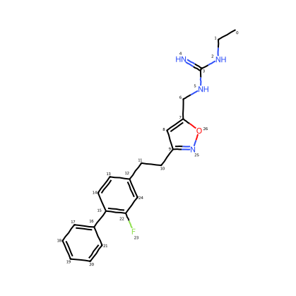 CCNC(=N)NCc1cc(CCc2ccc(-c3ccccc3)c(F)c2)no1